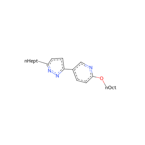 CCCCCCCCOc1ccc(-c2ccc(CCCCCCC)nn2)cn1